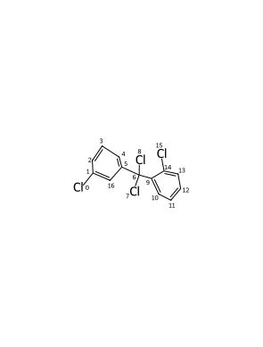 Clc1cccc(C(Cl)(Cl)c2ccccc2Cl)c1